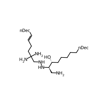 CCCCCCCCCC/C=C/CCC(N)(N)CNN[C@H](CN)[C@H](O)CCCCCCCCCCCCCCC